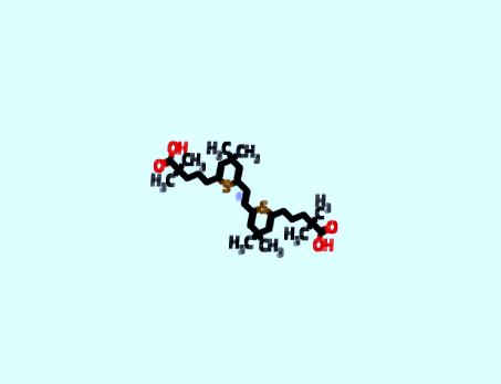 CC1(C)C=C(/C=C/C2=CC(C)(C)C=C(CCCC(C)(C)C(=O)O)S2)SC(CCCC(C)(C)C(=O)O)=C1